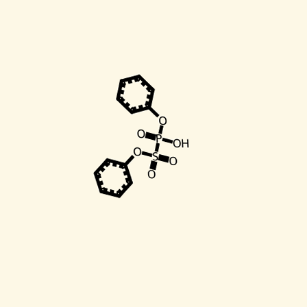 O=P(O)(Oc1ccccc1)S(=O)(=O)Oc1ccccc1